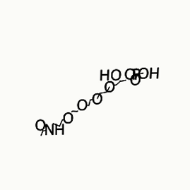 CC(=O)NCCCOCCOCCOCCOCC(O)COP(C)(=O)O